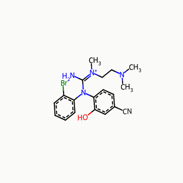 CN(C)CC[N+](C)=C(N)N(c1ccc(C#N)cc1O)c1ccccc1Br